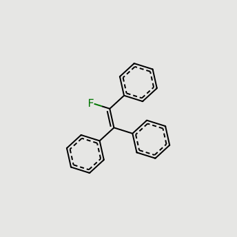 FC(=C(c1ccccc1)c1ccccc1)c1ccccc1